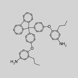 CCCc1cc(N)ccc1Oc1ccc(C2(c3ccc(Oc4ccc(N)cc4CCC)cc3)c3ccccc3-c3ccccc32)cc1